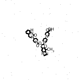 Cc1cc(C[C@@H](OC(=O)N2CCC(N3CCc4ccccc4NC3=O)CC2)C(=O)N2CCC(N3CCC(O)(CO)CC3)CC2)cc2nccnc12